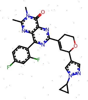 Cc1nc2c(-c3ccc(F)cc3F)nc(C3=CC(c4cnn(C5CC5)c4)OCC3)nc2c(=O)n1C